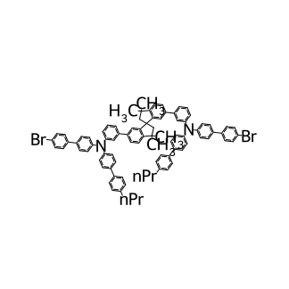 CCCc1ccc(-c2ccc(N(c3ccc(-c4ccc(Br)cc4)cc3)c3cccc(-c4ccc5c(c4)C4(CC5(C)C)CC(C)(C)c5ccc(-c6cccc(N(c7ccc(-c8ccc(Br)cc8)cc7)c7ccc(-c8ccc(CCC)cc8)cc7)c6)cc54)c3)cc2)cc1